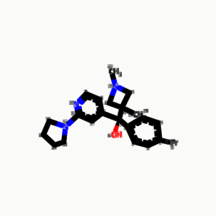 CC(C)c1ccc([C@](O)(c2ccnc(N3CCCC3)c2)C2(C)CN(C)C2)cc1